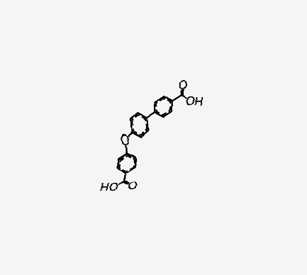 O=C(O)c1ccc(Oc2ccc(-c3ccc(C(=O)O)cc3)cc2)cc1